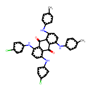 Cc1ccc(Nc2ccc(Nc3ccc(C)cc3)c3c2C(=O)c2c(Nc4ccc(Cl)cc4)ccc(Nc4ccc(Cl)cc4)c2C3=O)cc1